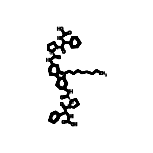 CCCCCCCCn1c2cc(NC(=O)[C@@H]3CCCN3C(=O)C(NC(=O)O)c3ccccc3)ccc2c2ccc(NC(=O)[C@@H]3CCCN3C(=O)C(NC(=O)O)c3ccccc3)cc21